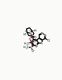 C[S+]([O-])c1nc(N2C[C@H]3CC[C@@H](C2)N3C(=O)OC(C)(C)C)c2c(n1)sc1c(Cl)nncc12